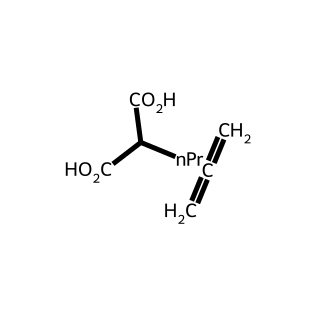 C=C=C.CCCC(C(=O)O)C(=O)O